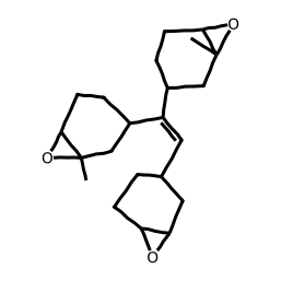 CC12CC(C(=CC3CCC4OC4C3)C3CCC4OC4(C)C3)CCC1O2